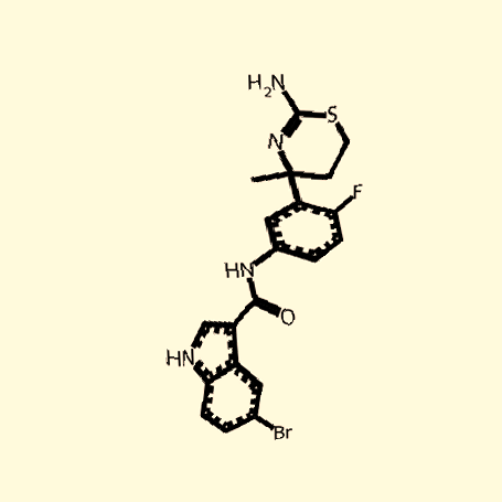 CC1(c2cc(NC(=O)c3c[nH]c4ccc(Br)cc34)ccc2F)CCSC(N)=N1